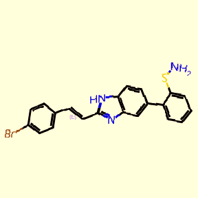 NSc1ccccc1-c1ccc2[nH]c(/C=C/c3ccc(Br)cc3)nc2c1